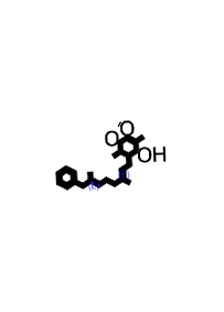 COC1=C(C)C(O)C(C/C=C(\C)CC/C=C(\C)Cc2ccccc2)C(C)C1=O